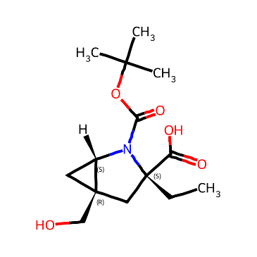 CC[C@@]1(C(=O)O)C[C@]2(CO)C[C@@H]2N1C(=O)OC(C)(C)C